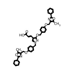 Cc1oc(-c2ccccc2)nc1COc1ccc(COc2nn(Cc3ccc(OCc4nc(-c5ccccc5)oc4C)cc3)cc2C=CC(=O)O)cc1